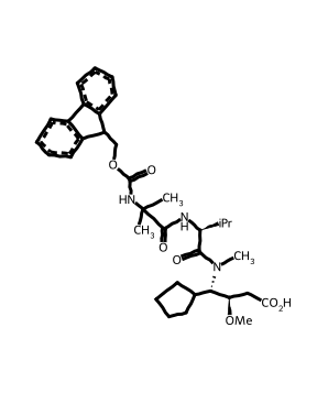 CO[C@H](CC(=O)O)[C@H](C1CCCC1)N(C)C(=O)[C@@H](NC(=O)C(C)(C)NC(=O)OCC1c2ccccc2-c2ccccc21)C(C)C